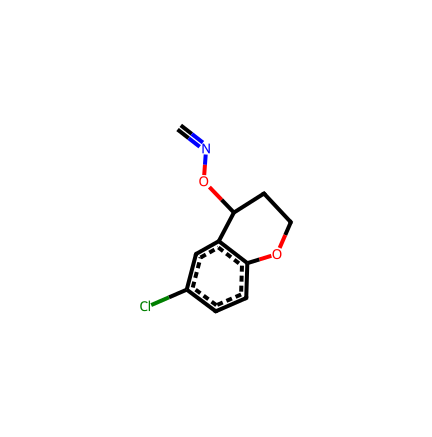 C=NOC1CCOc2ccc(Cl)cc21